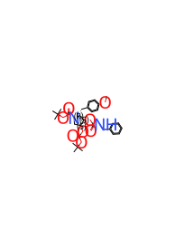 COc1ccc(C[C@@H]2[C@H](OC(=O)NCc3ccccc3)[C@@H](OC(=O)OC(C)(C)C)CN2C(=O)OC(C)(C)C)cc1